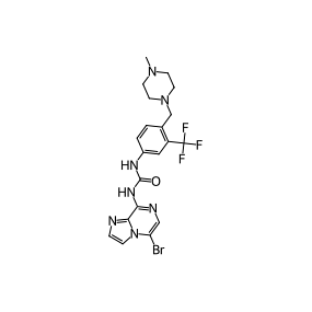 CN1CCN(Cc2ccc(NC(=O)Nc3ncc(Br)n4ccnc34)cc2C(F)(F)F)CC1